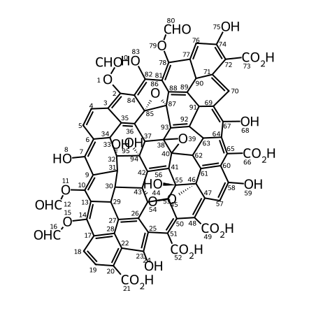 O=COC1=C2C=CC3=C(O)C4=C(OC=O)C5=C(OC=O)c6ccc(C(=O)O)c7c(O)c8c9c(c67)C5C5C4[C@@]4(O)C3C2=C2C3C67OC6%10C6=C([C@]5%11OO[C@]5%12C(=C(C(=O)O)C(=C8C(=O)O)C(C9%11)[C@]65O)C=C(O)C5=C%12C%10C6C(=C5C(=O)O)C(O)=C5C=C8C(C(=O)O)=C(O)C=C9C(OC=O)=C%10C(O)=C1[C@]21O[C@@]12C%10=C(C98)C5C6=C72)[C@]34O